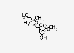 C=CCC[C@@H](C)O[C@@H](CC)CC(=O)N1C[C@H](O)C[C@H]1C(=O)OC